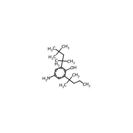 CCCC(C)(C)c1cc(N)cc(C(C)(C)CC(C)(C)C)c1O